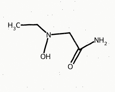 CCN(O)CC(N)=O